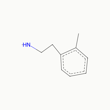 Cc1ccccc1CC[NH]